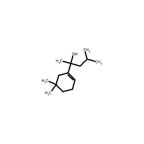 CC(C)CC(C)(O)C1=CCCC(C)(C)C1